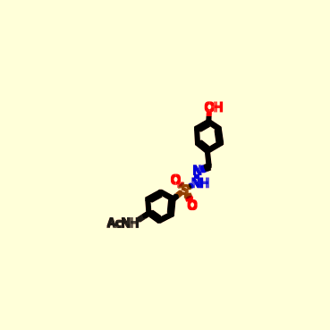 CC(=O)Nc1ccc(S(=O)(=O)NN=Cc2ccc(O)cc2)cc1